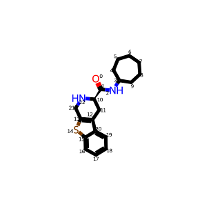 O=C(NC1CCCCCC1)[C@H]1Cc2c(sc3ccccc23)CN1